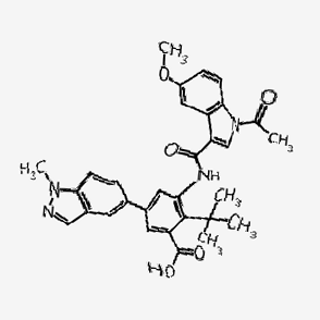 COc1ccc2c(c1)c(C(=O)Nc1cc(-c3ccc4c(cnn4C)c3)cc(C(=O)O)c1C(C)(C)C)cn2C(C)=O